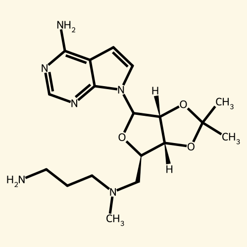 CN(CCCN)C[C@H]1OC(n2ccc3c(N)ncnc32)[C@@H]2OC(C)(C)O[C@H]12